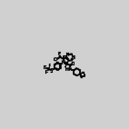 C[C@](C(=O)NC1CCC2(CCC2)CC1)(c1cncnc1)N(C(=O)[C@H](F)Cl)c1ccc(SC(F)(F)F)cc1